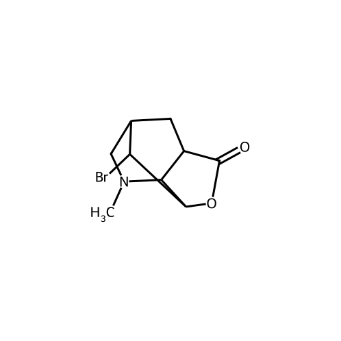 CN1CC2CC3C(=O)OC(C2Br)C31